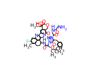 CC[C@@]1(O)C(=O)OCc2c1cc1n(c2=O)Cc2c-1nc1cc(F)c(C)c3c1c2[C@@H](NC(=O)[C@H](COC(C)(C)C)NC(=O)[C@H](Cc1ccccc1)NC(=O)CNC(=O)CN)CC3